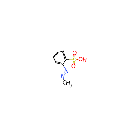 CN=Nc1ccccc1S(=O)(=O)O